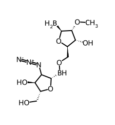 B[C@@H]1O[C@H](COB[C@@H]2O[C@H](CO)[C@@H](O)C2N=[N+]=[N-])[C@@H](O)[C@H]1OC